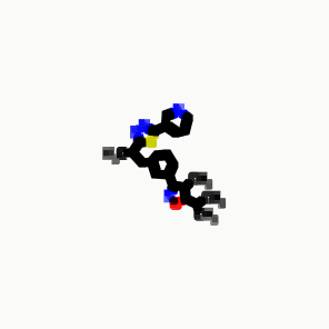 Cc1c(-c2cccc(CC(C)c3nnc(-c4cccnc4)s3)c2)noc1C(C)C